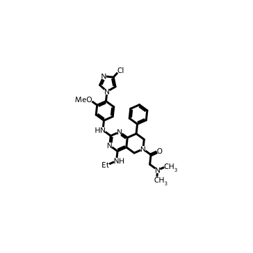 CCNc1nc(Nc2ccc(-n3cnc(Cl)c3)c(OC)c2)nc2c1CN(C(=O)CN(C)C)CC2c1ccccc1